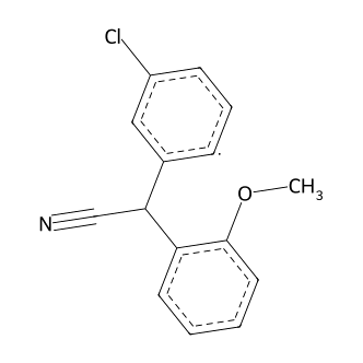 COc1ccccc1C(C#N)c1[c]ccc(Cl)c1